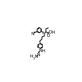 CCC(C(=O)O)N(CCCCc1ccc(NC=NN)cc1)c1cccc(C#N)c1